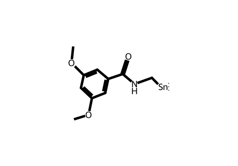 COc1cc(OC)cc(C(=O)N[CH2][Sn])c1